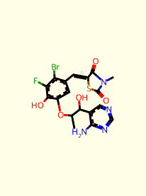 CC(Oc1cc(/C=C2\SC(=O)N(C)C2=O)c(Br)c(F)c1O)C(O)c1cncnc1N